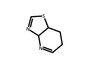 C1=NC2N=CSC2CC1